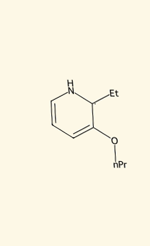 CCCOC1=CC=CN[C]1CC